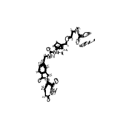 CN(CCOCC12CC(C1)C(NC(=O)NCc1ccc3c(c1)CN(C1CCC(=O)NC1=O)C3=O)C2)C(=O)OC(C)(C)C